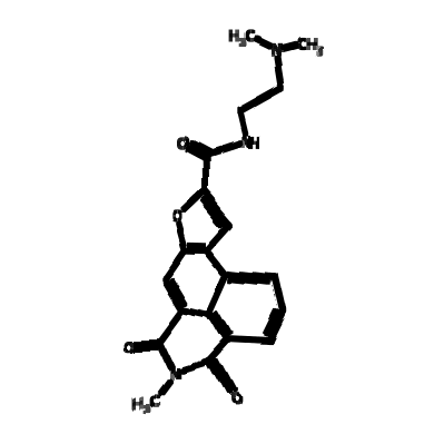 CN(C)CCNC(=O)c1cc2c(cc3c4c(cccc42)C(=O)N(C)C3=O)o1